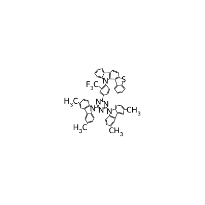 Cc1ccc2c(c1)c1cc(C)ccc1n2-c1nc(-c2ccc(-n3c4ccccc4c4ccc5sc6ccccc6c5c43)c(C(F)(F)F)c2)nc(-n2c3ccc(C)cc3c3cc(C)ccc32)n1